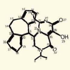 CC(C)N1CC(C2c3ccccc3CCc3ccccc32)n2c(CO)nc(=O)c(O)c2C1=O